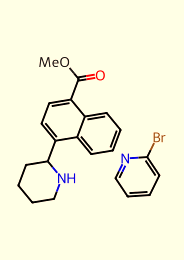 Brc1ccccn1.COC(=O)c1ccc(C2CCCCN2)c2ccccc12